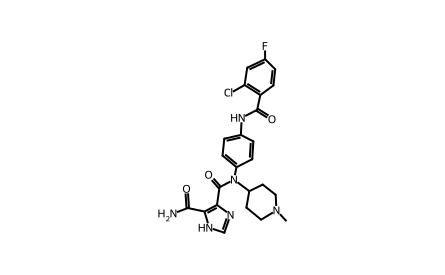 CN1CCC(N(C(=O)c2nc[nH]c2C(N)=O)c2ccc(NC(=O)c3ccc(F)cc3Cl)cc2)CC1